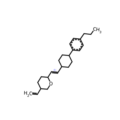 C=CC1CCC(/C=C/C2CCC(c3ccc(CCC)cc3)CC2)OC1